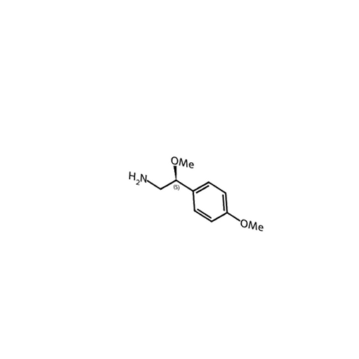 COc1ccc([C@@H](CN)OC)cc1